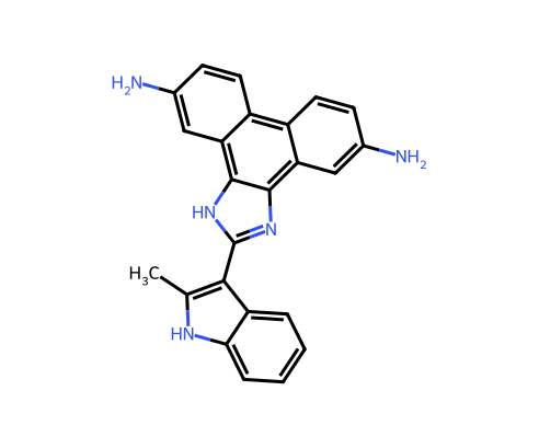 Cc1[nH]c2ccccc2c1-c1nc2c3cc(N)ccc3c3ccc(N)cc3c2[nH]1